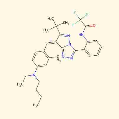 CCCCN(CC)c1ccc(/C=c2/c(C(C)(C)C)nn3c(-c4ccccc4NC(=O)C(F)(F)F)nnc23)c(C)c1